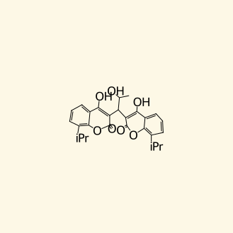 CC(C)c1cccc2c(O)c(C(c3c(O)c4cccc(C(C)C)c4oc3=O)C(C)O)c(=O)oc12